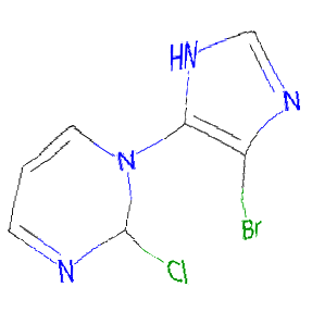 ClC1N=CC=CN1c1[nH]cnc1Br